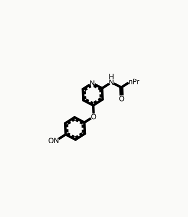 CCCC(=O)Nc1cc(Oc2ccc(N=O)cc2)ccn1